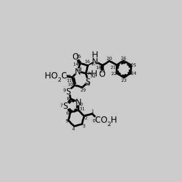 O=C(O)CC1CCCc2sc(SC3=C(C(=O)O)N4C(=O)[C@@H](NC(=O)Cc5ccccc5)[C@@H]4SC3)nc21